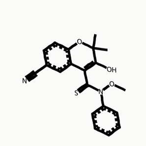 CON(C(=S)C1=C(O)C(C)(C)Oc2ccc(C#N)cc21)c1ccccc1